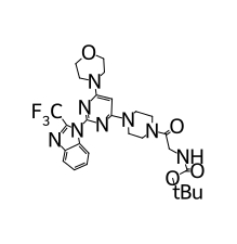 CC(C)(C)OC(=O)NCC(=O)N1CCN(c2cc(N3CCOCC3)nc(-n3c(C(F)(F)F)nc4ccccc43)n2)CC1